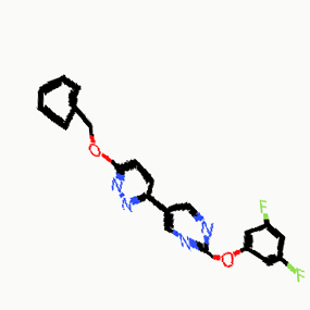 Fc1cc(F)cc(Oc2ncc(-c3ccc(OCc4ccccc4)nn3)cn2)c1